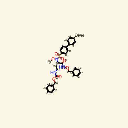 COc1ccc(-c2ccc(S(=O)(=O)N(OC(C)C)[C@H](CCNC(=O)OCc3ccccc3)C(=O)NOCc3ccccc3)cc2)cc1